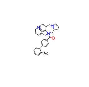 CC(=O)c1ccccc1-c1ccc(C(=O)[N+]2(Cc3cccnc3)Cc3cccn3Cc3ccccc32)cc1